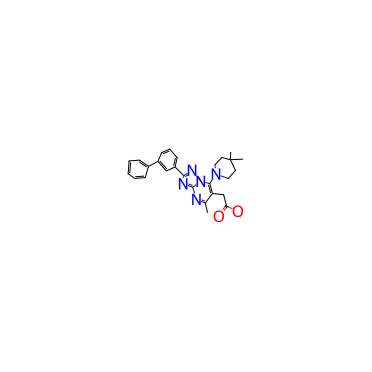 COC(=O)Cc1c(C)nc2nc(-c3cccc(-c4ccccc4)c3)nn2c1N1CCC(C)(C)CC1